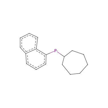 c1ccc2c([P]C3CCCCCC3)cccc2c1